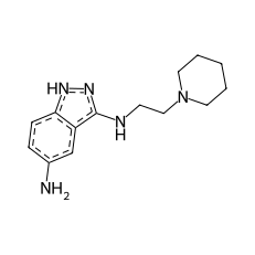 Nc1ccc2[nH]nc(NCCN3CCCCC3)c2c1